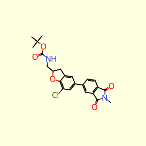 CN1C(=O)c2ccc(-c3cc(Cl)c4c(c3)CC(CNC(=O)OC(C)(C)C)O4)cc2C1=O